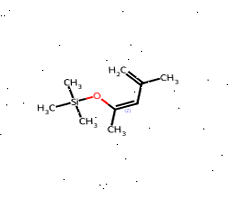 C=C(C)/C=C(/C)O[Si](C)(C)C